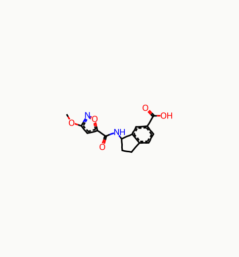 COc1cc(C(=O)NC2CCc3ccc(C(=O)O)cc32)on1